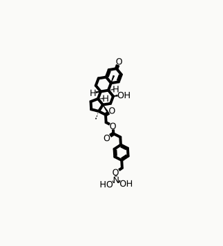 C[C@]12C=CC(=O)C=C1CC[C@@H]1[C@@H]2[C@@H](O)C[C@@]2(C)[C@H]1CC[C@]2(C)C(=O)COC(=O)Cc1ccc(CON(O)O)cc1